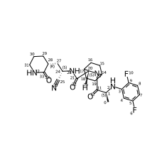 C[C@H](Nc1cc(F)ccc1F)C(=O)N1C2CCC(CC2)[C@H]1C(=O)N[C@H](C#N)C[C@H]1CCCNC1=O